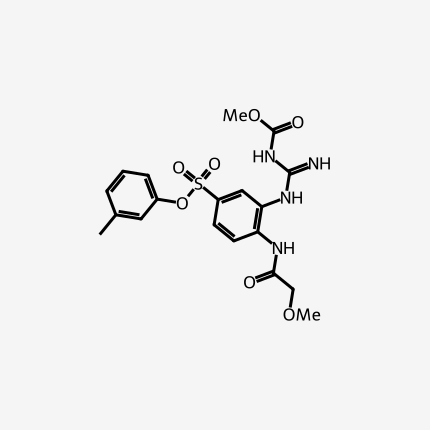 COCC(=O)Nc1ccc(S(=O)(=O)Oc2cccc(C)c2)cc1NC(=N)NC(=O)OC